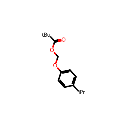 CC(C)c1ccc(OCOC(=O)C(C)(C)C)cc1